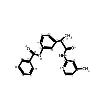 Cc1ccnc(NC(=O)C(C)c2cccc(OC(=O)c3ccccc3)c2)c1